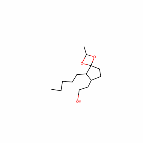 CCCCCC1C(CCO)CCC12OC(C)O2